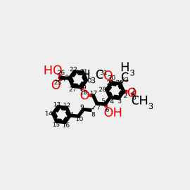 COc1cc(C(O)[C@H](CCCc2ccccc2)COc2cccc(C(=O)O)c2)cc(OC)c1C